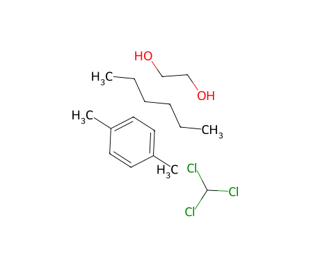 CCCCCC.Cc1ccc(C)cc1.ClC(Cl)Cl.OCCO